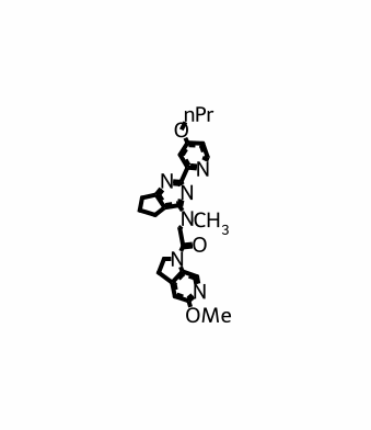 CCCOc1ccnc(-c2nc3c(c(N(C)CC(=O)N4CCc5cc(OC)ncc54)n2)CCC3)c1